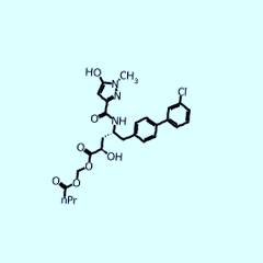 CCCC(=O)OCOC(=O)[C@H](O)C[C@@H](Cc1ccc(-c2cccc(Cl)c2)cc1)NC(=O)c1cc(O)n(C)n1